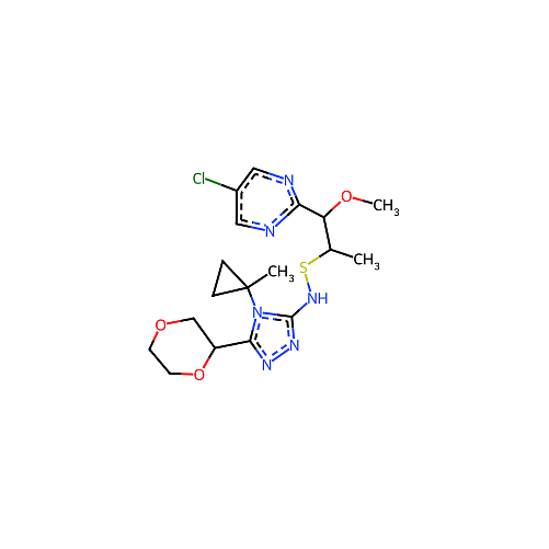 COC(c1ncc(Cl)cn1)C(C)SNc1nnc(C2COCCO2)n1C1(C)CC1